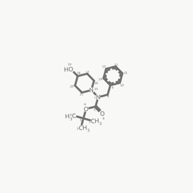 CC(C)(C)OC(=O)N(Cc1ccccc1)N1CCC(O)CC1